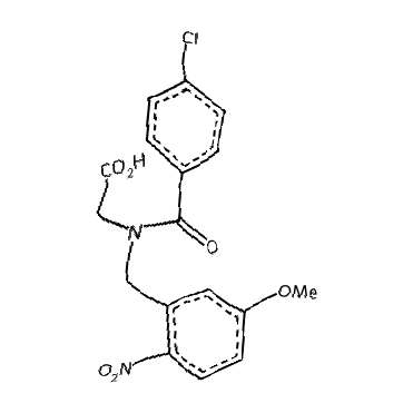 COc1ccc([N+](=O)[O-])c(CN(CC(=O)O)C(=O)c2ccc(Cl)cc2)c1